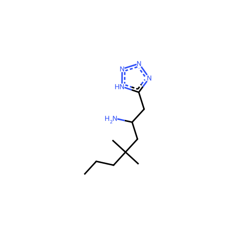 CCCC(C)(C)CC(N)Cc1nnn[nH]1